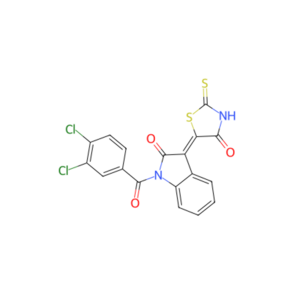 O=C1NC(=S)SC1=C1C(=O)N(C(=O)c2ccc(Cl)c(Cl)c2)c2ccccc21